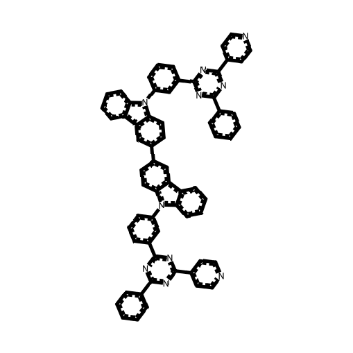 c1ccc(-c2nc(-c3ccncc3)nc(-c3cccc(-n4c5ccccc5c5cc(-c6ccc7c(c6)c6ccccc6n7-c6cccc(-c7nc(-c8ccccc8)nc(-c8ccncc8)n7)c6)ccc54)c3)n2)cc1